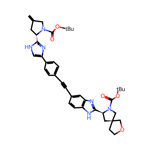 C=C1C[C@@H](c2nc(-c3ccc(C#Cc4ccc5[nH]c([C@@H]6C[C@@]7(CCOC7)CN6C(=O)OC(C)(C)C)nc5c4)cc3)c[nH]2)N(C(=O)OC(C)(C)C)C1